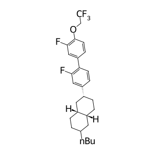 CCCCC1CC[C@@H]2C[C@H](c3ccc(-c4ccc(OCC(F)(F)F)c(F)c4)c(F)c3)CC[C@@H]2C1